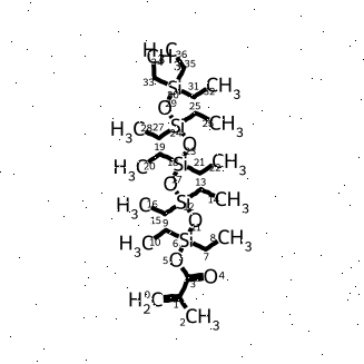 C=C(C)C(=O)O[Si](CC)(CC)O[Si](CC)(CC)O[Si](CC)(CC)O[Si](CC)(CC)O[Si](CC)(CC)CC